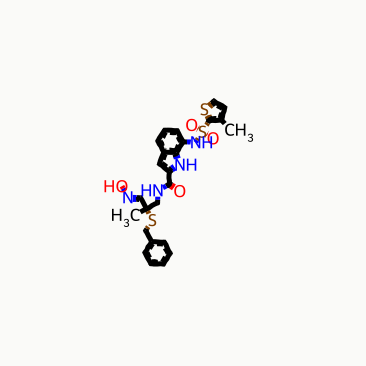 Cc1ccsc1S(=O)(=O)Nc1cccc2cc(C(=O)NCC(C)(C=NO)SCc3ccccc3)[nH]c12